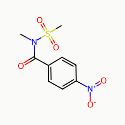 CN(C(=O)c1ccc([N+](=O)[O-])cc1)S(C)(=O)=O